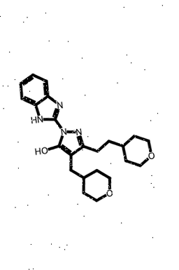 Oc1c(CC2CCOCC2)c(CCC2CCOCC2)nn1-c1nc2ccccc2[nH]1